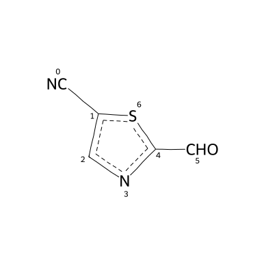 N#Cc1cnc(C=O)s1